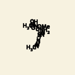 COc1cc(-c2cn([C@H]3CC[C@@H](N4CCn5nc(C)cc5C4)CC3)c3ncnc(N)c23)ccc1NC(=O)c1cc2ccccc2n1C